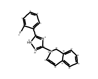 Fc1ccccc1-c1nc(N2C=Cc3ccccc3C2)n[nH]1